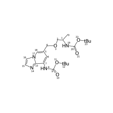 CC(COCc1cc(NC(=O)OC(C)(C)C)c2nccn2c1)NC(=O)OC(C)(C)C